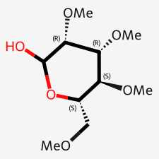 COC[C@@H]1OC(O)[C@H](OC)[C@H](OC)[C@H]1OC